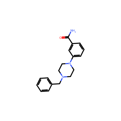 NC(=O)c1cccc(N2CCN(Cc3ccccc3)CC2)c1